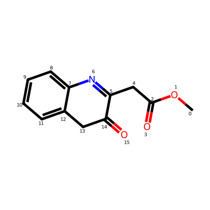 COC(=O)CC1=Nc2ccccc2CC1=O